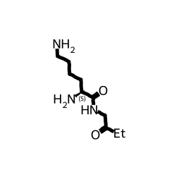 CCC(=O)CNC(=O)[C@@H](N)CCCCN